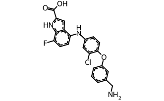 NCc1cccc(Oc2ccc(Nc3ccc(F)c4[nH]c(C(=O)O)cc34)cc2Cl)c1